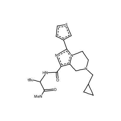 CNC(=O)C(NC(=O)c1nc(-c2ccsc2)n2c1CN(CC1CC1)CC2)C(C)(C)C